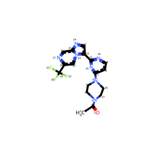 CC(=O)N1CCN(c2ccnc(-c3cnc4cnc(C(F)(F)F)cn34)n2)CC1